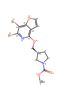 CC(C)(C)OC(=O)N1CC[C@H](COc2nc(Br)c(Br)c3occc23)C1